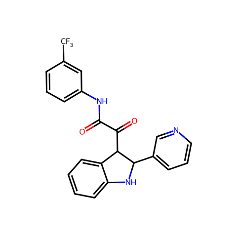 O=C(Nc1cccc(C(F)(F)F)c1)C(=O)C1c2ccccc2NC1c1cccnc1